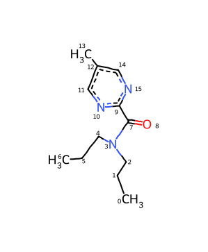 CCCN(CCC)C(=O)c1ncc(C)cn1